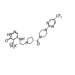 C[C@@H](CN1CC[C@H](C(=O)N2CCN(c3ncc(C(F)(F)F)cn3)CC2)C1)Nc1cn[nH]c(=O)c1C(F)(F)F